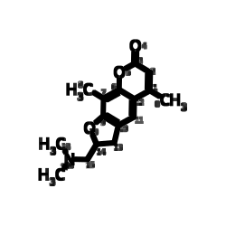 Cc1cc(=O)oc2c(C)c3c(cc12)CC(CN(C)C)O3